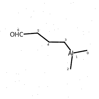 [CH3][Al]([CH3])[CH2]CCC=O